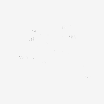 COC(=O)/C(=N/N)c1ccc2[nH]cc(CCN(C)C)c2c1.Cl